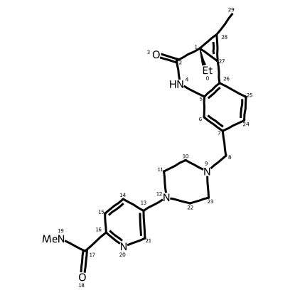 CC[C@]12C(=O)Nc3cc(CN4CCN(c5ccc(C(=O)NC)nc5)CC4)ccc3C1=C2C